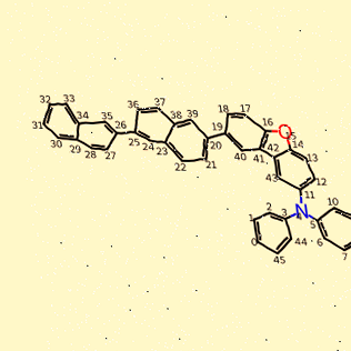 c1ccc(N(c2ccccc2)c2ccc3oc4ccc(-c5ccc6cc(-c7ccc8ccccc8c7)ccc6c5)cc4c3c2)cc1